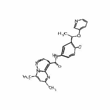 Cc1cc(C)n2ncc(C(=O)Nc3ccc(Cl)c(C(C)Oc4cccnc4)c3)c2n1